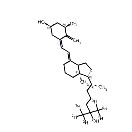 [2H]C([2H])([2H])C(O)(CCC[C@@H](C)[C@H]1CCC2C(=C/C=C3/C[C@@H](O)C[C@@H](O)C3=C)CCC[C@@]21C)C([2H])([2H])[2H]